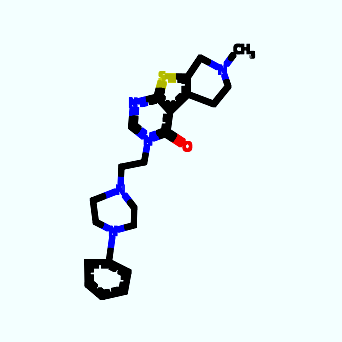 CN1CCc2c(sc3ncn(CCN4CCN(c5ccccc5)CC4)c(=O)c23)C1